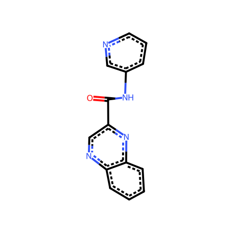 O=C(Nc1cccnc1)c1cnc2ccccc2n1